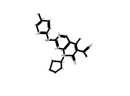 CC(=O)c1c(C)c2cnc(Nc3ccc(C)cn3)nc2n(C2CCCC2)c1=O